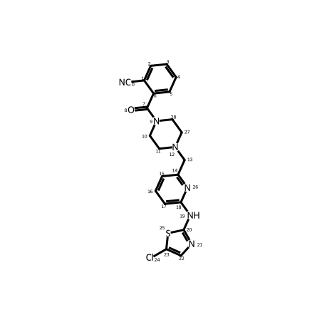 N#Cc1ccccc1C(=O)N1CCN(Cc2cccc(Nc3ncc(Cl)s3)n2)CC1